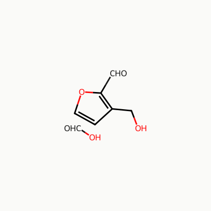 O=CO.O=Cc1occc1CO